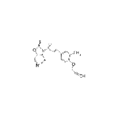 C#CCOc1ccc(/C=C/C(=O)n2c(=S)oc3cnccc32)cc1C